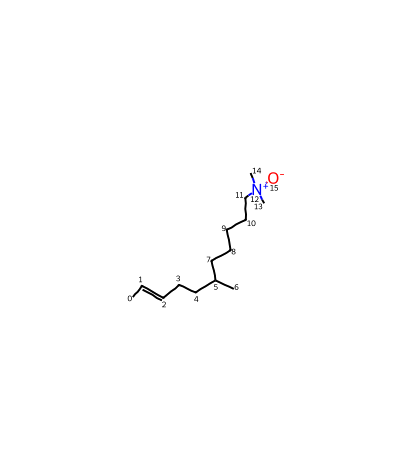 CC=CCCC(C)CCCCC[N+](C)(C)[O-]